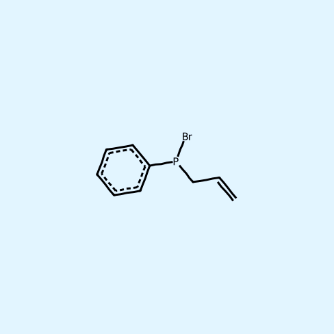 C=CCP(Br)c1ccccc1